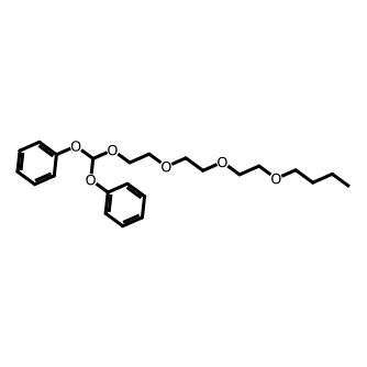 CCCCOCCOCCOCCOC(Oc1ccccc1)Oc1ccccc1